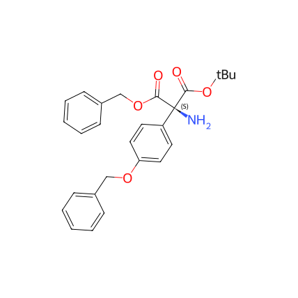 CC(C)(C)OC(=O)[C@@](N)(C(=O)OCc1ccccc1)c1ccc(OCc2ccccc2)cc1